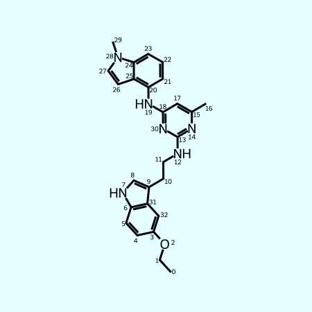 CCOc1ccc2[nH]cc(CCNc3nc(C)cc(Nc4cccc5c4ccn5C)n3)c2c1